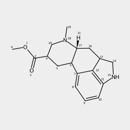 COC(=O)C1CC2c3cccc4c3C(CN4)C[C@H]2N(C)C1